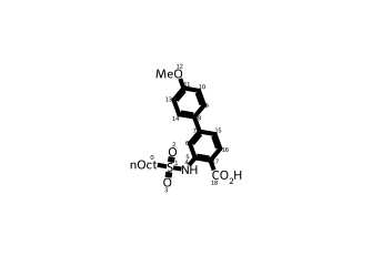 CCCCCCCCS(=O)(=O)Nc1cc(-c2ccc(OC)cc2)ccc1C(=O)O